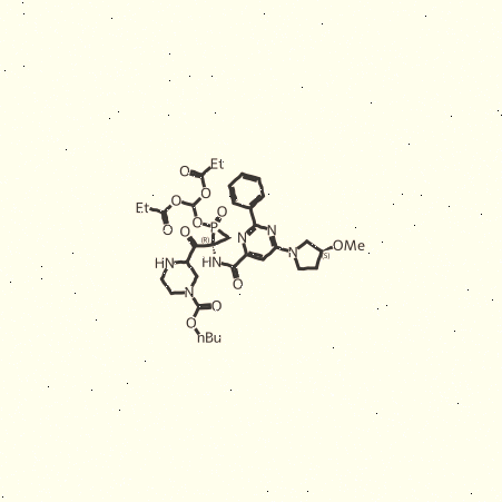 CCCCOC(=O)N1CCNC(C(=O)[C@]2(NC(=O)c3cc(N4CC[C@H](OC)C4)nc(-c4ccccc4)n3)CP2(=O)OC(OC(=O)CC)OC(=O)CC)C1